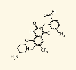 CC[S+]([O-])c1ccc(C)cc1Cn1c(=O)[nH]c2c(Cl)c(CN3CCC[C@@H](N)C3)c(C(F)(F)F)cc2c1=O